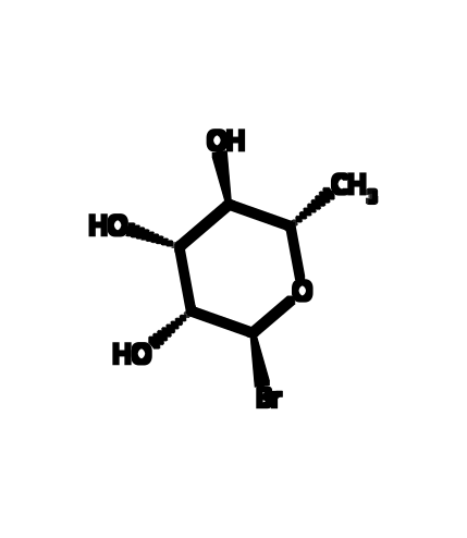 C[C@@H]1O[C@@H](Br)[C@H](O)[C@H](O)[C@H]1O